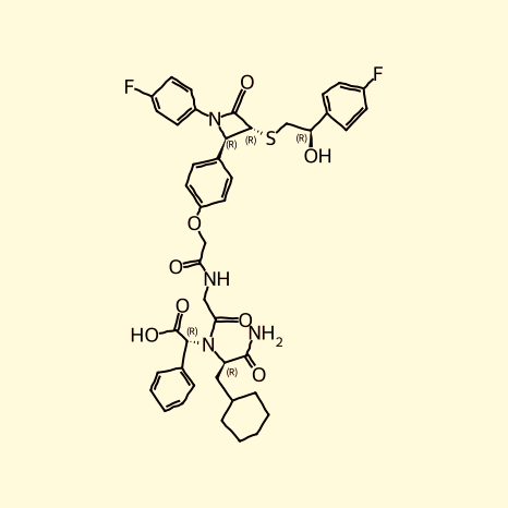 NC(=O)[C@@H](CC1CCCCC1)N(C(=O)CNC(=O)COc1ccc([C@@H]2[C@@H](SC[C@H](O)c3ccc(F)cc3)C(=O)N2c2ccc(F)cc2)cc1)[C@@H](C(=O)O)c1ccccc1